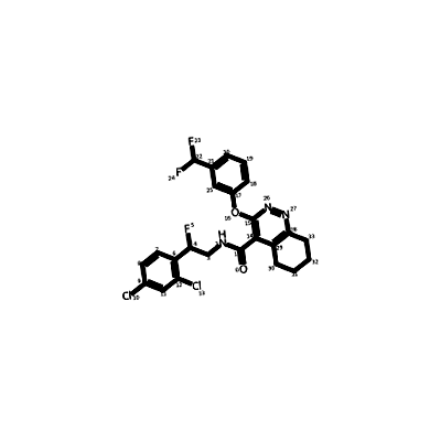 O=C(NCC(F)c1ccc(Cl)cc1Cl)c1c(Oc2cccc(C(F)F)c2)nnc2c1CCCC2